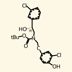 CC(C)(C)OC(=O)N(CCc1ccc(O)c(Cl)c1)C[C@H](O)c1cccc(Cl)c1